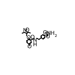 COc1ccc(OCc2c(C)noc2C)c(C(=O)NCCc2ccc(S(N)(=O)=O)cc2)c1